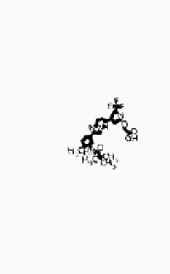 Cc1ccc(-c2cn3nc(-c4cc(OCC(=O)O)nc(C(F)(F)F)c4)ccc3n2)cc1NC(=O)C(C)(C)C